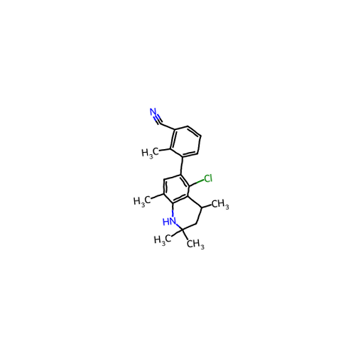 Cc1cc(-c2cccc(C#N)c2C)c(Cl)c2c1NC(C)(C)CC2C